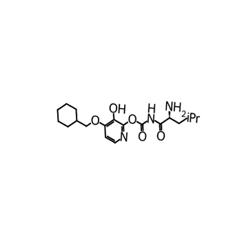 CC(C)C[C@H](N)C(=O)NC(=O)Oc1nccc(OCC2CCCCC2)c1O